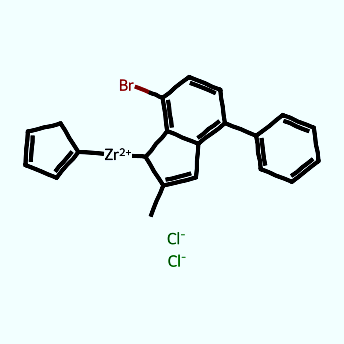 CC1=Cc2c(-c3ccccc3)ccc(Br)c2[CH]1[Zr+2][C]1=CC=CC1.[Cl-].[Cl-]